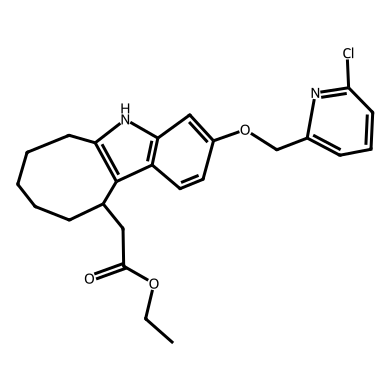 CCOC(=O)CC1CCCCCc2[nH]c3cc(OCc4cccc(Cl)n4)ccc3c21